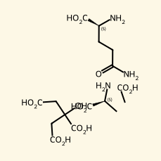 CC(=O)O.C[C@H](N)C(=O)O.NC(=O)CC[C@H](N)C(=O)O.O=C(O)CC(O)(CC(=O)O)C(=O)O